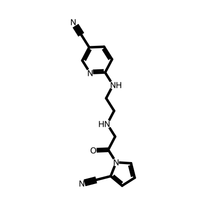 N#Cc1ccc(NCCNCC(=O)n2cccc2C#N)nc1